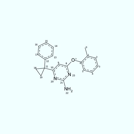 Cc1ccccc1Oc1cc(C2(c3ccccc3)CC2)nc(N)n1